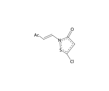 CC(=O)C=Cn1sc(Cl)cc1=O